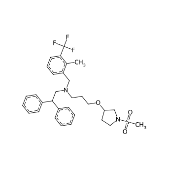 Cc1c(CN(CCCOC2CCN(S(C)(=O)=O)C2)CC(c2ccccc2)c2ccccc2)cccc1C(F)(F)F